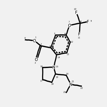 COC(=O)c1cc(OC(F)(F)F)ccc1N1CCCC1CN(C)C